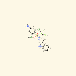 Nc1cc(Cl)c(S(=O)(=O)NC(Cc2c[nH]c3ccccc23)C(F)(F)F)c(Cl)c1